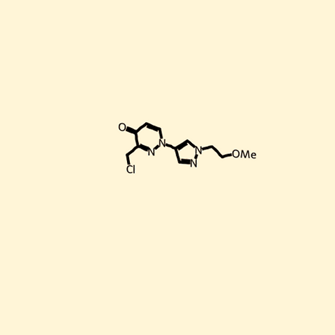 COCCn1cc(-n2ccc(=O)c(CCl)n2)cn1